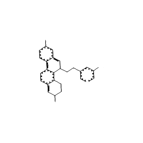 [CH2]C1C=c2ccc3c(c2CC1)C(CCc1cncc(C(F)(F)F)c1)C=c1cc(Cl)ccc1=3